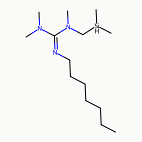 CCCCCCCN=C(N(C)C)N(C)C[SiH](C)C